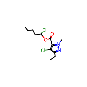 CCCCC(Cl)OC(=O)c1c(Cl)c(CC)nn1C